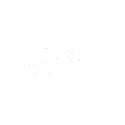 CC(C)(CCC(C#N)CN(C(=O)O)C(C)(C)C)COC1CCCCO1